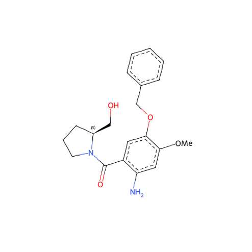 COc1cc(N)c(C(=O)N2CCC[C@H]2CO)cc1OCc1ccccc1